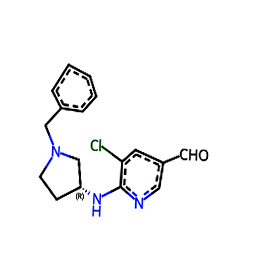 O=Cc1cnc(N[C@@H]2CCN(Cc3ccccc3)C2)c(Cl)c1